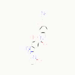 CN(C)CCOc1ccc2c(c1)CN(C(=O)c1cc3c(CN4CCCCC4=O)n[nH]c3cc1O)C2